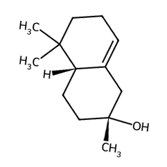 CC1(C)CCC=C2C[C@](C)(O)CC[C@@H]21